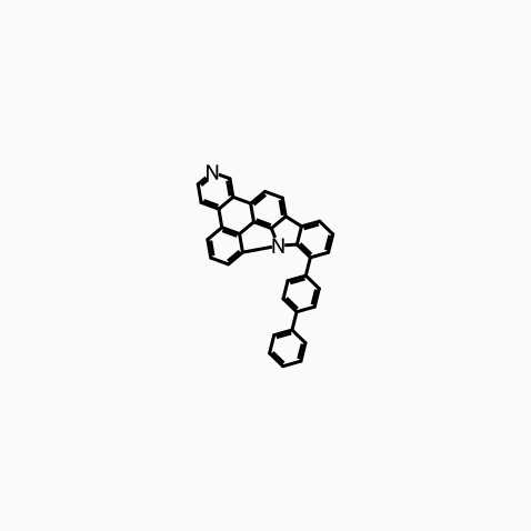 c1ccc(-c2ccc(-c3cccc4c5ccc6c7cnccc7c7cccc8c7c6c5n8c34)cc2)cc1